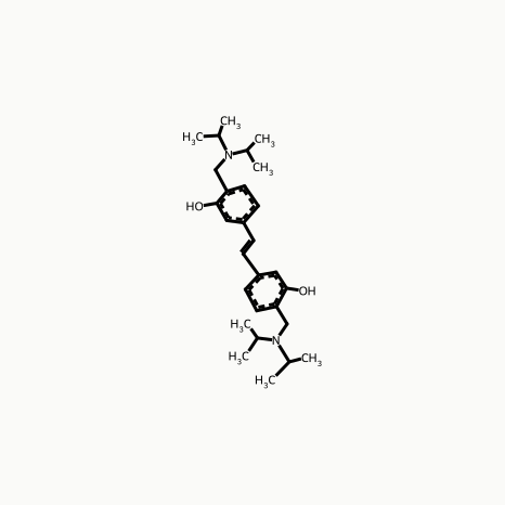 CC(C)N(Cc1ccc(/C=C/c2ccc(CN(C(C)C)C(C)C)c(O)c2)cc1O)C(C)C